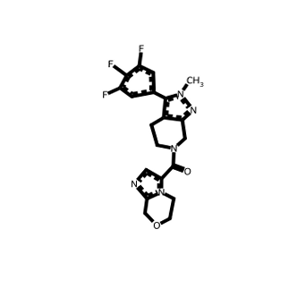 Cn1nc2c(c1-c1cc(F)c(F)c(F)c1)CCN(C(=O)c1cnc3n1CCOC3)C2